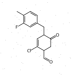 Cc1ccc(CC2C=C(Cl)C(C=O)CC2=O)cc1F